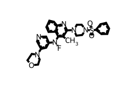 Cc1c(N2CCN(S(=O)(=O)c3ccccc3)CC2)nc2ccccc2c1N(F)c1cncc(N2CCOCC2)c1